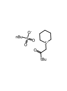 CC(C)(C)C(=O)C[S+]1CCCCC1.CCCCS(=O)(=O)[O-]